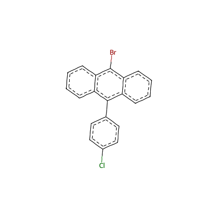 Clc1ccc(-c2c3ccccc3c(Br)c3ccccc23)cc1